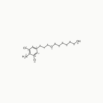 Nc1c(Cl)cc(CCCOCCCCCCO)cc1Cl